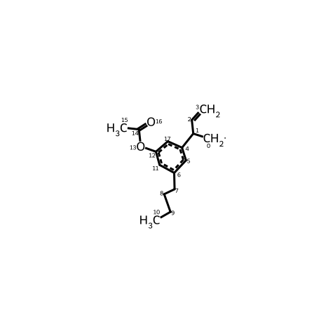 [CH2]C(C=C)c1cc(CCCC)cc(OC(C)=O)c1